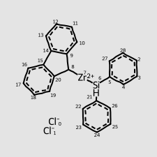 [Cl-].[Cl-].c1ccc([SiH]([Zr+2][CH]2c3ccccc3-c3ccccc32)c2ccccc2)cc1